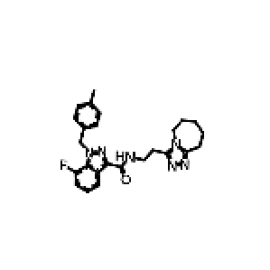 Cc1ccc(Cn2nc(C(=O)NCCc3nnc4n3CCCCC4)c3cccc(F)c32)cc1